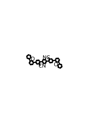 N#Cc1cc(-c2cccc3c2oc2ccccc23)ccc1-c1ccc(-c2ccc(-c3cccc4c3oc3ccccc34)cc2C#N)cc1